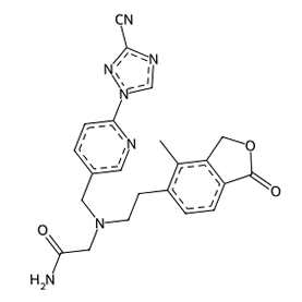 Cc1c(CCN(CC(N)=O)Cc2ccc(-n3cnc(C#N)n3)nc2)ccc2c1COC2=O